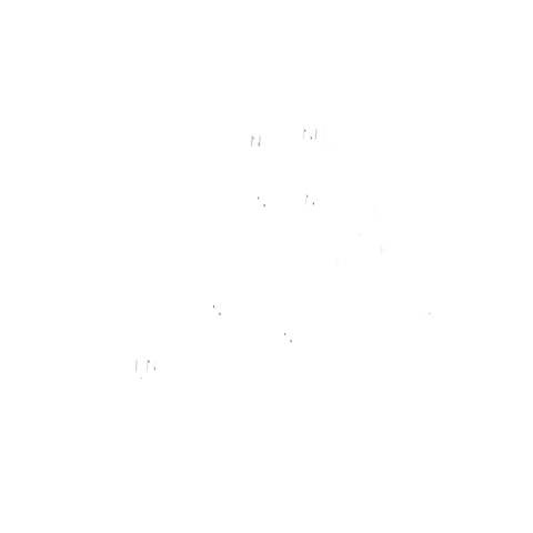 COc1ccc(-c2cc(Cc3cnc4c(N)nccn34)c(N3CCC[C@@H](N)C3)cn2)c(OC(F)(F)F)c1